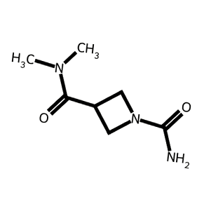 CN(C)C(=O)C1CN(C(N)=O)C1